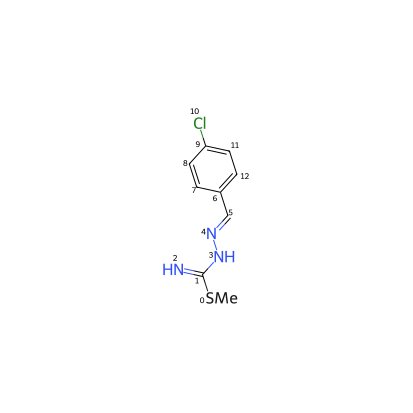 CSC(=N)NN=Cc1ccc(Cl)cc1